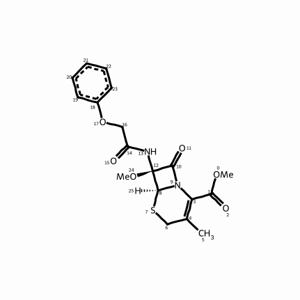 COC(=O)C1=C(C)CS[C@@H]2N1C(=O)[C@]2(NC(=O)COc1ccccc1)OC